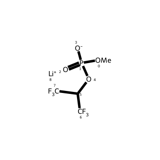 COP(=O)([O-])OC(C(F)(F)F)C(F)(F)F.[Li+]